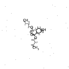 CCCCOC(=O)c1ccccc1C(=O)OCCCC.[KH]